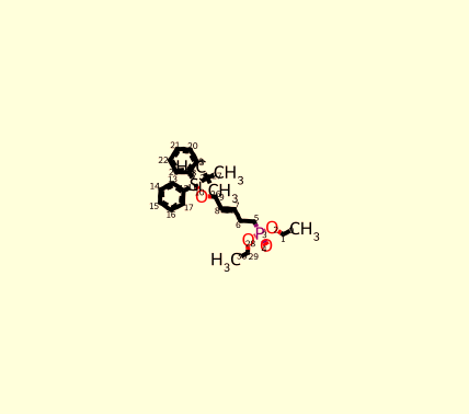 CCOP(=O)(CCC=CCO[Si](c1ccccc1)(c1ccccc1)C(C)(C)C)OCC